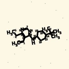 C=Cc1c(CC)ncnc1NC1CCC(C(C)(C)C)CC1